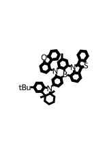 Cc1cc2c3c(c1)-n1c4c(cccc4c4sc5ccccc5c41)B3c1ccc(N3c4ccc(C(C)(C)C)cc4C4(C)CCCCC34C)cc1N2c1cccc2oc3ccccc3c12